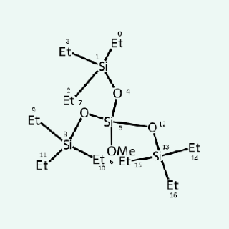 CC[Si](CC)(CC)O[Si](OC)(O[Si](CC)(CC)CC)O[Si](CC)(CC)CC